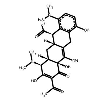 CN(C)c1ccc(O)c2c1[C@H](C(=O)S)[C@H]1C[C@H]3[C@H](N(C)C)C(O)=C(C(N)=O)C(=O)[C@@]3(O)C(O)=C1C2